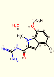 Cn1c(C(=O)NC(=N)N)cc2c(C(F)(F)F)ccc(OS(=O)(=O)O)c21.O